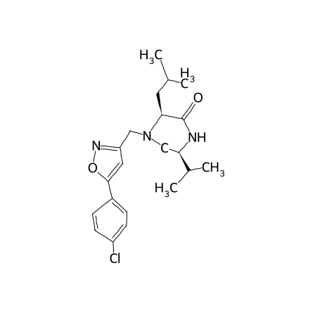 CC(C)C[C@H]1C(=O)N[C@@H](C(C)C)CN1Cc1cc(-c2ccc(Cl)cc2)on1